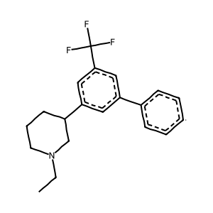 CCN1CCCC(c2cc(-c3cc[c]cc3)cc(C(F)(F)F)c2)C1